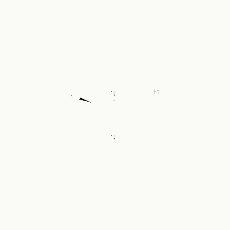 CC(=O)[C@H](CN)NCC(C)C